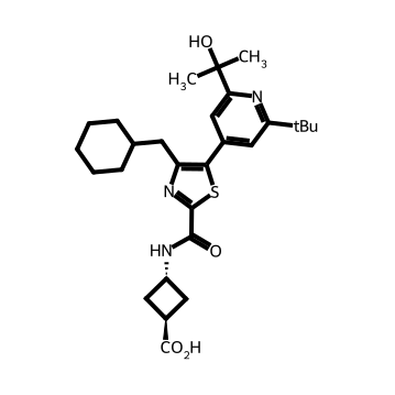 CC(C)(C)c1cc(-c2sc(C(=O)N[C@H]3C[C@H](C(=O)O)C3)nc2CC2CCCCC2)cc(C(C)(C)O)n1